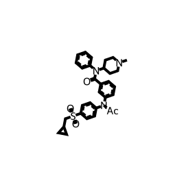 CC(=O)N(c1ccc(S(=O)(=O)CC2CC2)cc1)c1cccc(C(=O)N(c2ccccc2)C2CCN(C)CC2)c1